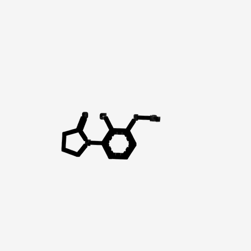 CC(C)(C)Sc1cccc(N2CCCC2=O)c1Cl